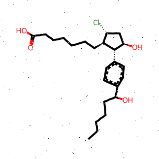 CCCCCC(O)c1ccc([C@@H]2[C@@H](CCCCCCC(=O)O)[C@H](Cl)C[C@H]2O)cc1